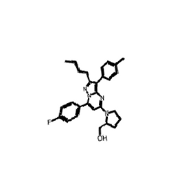 CCCCc1nn2c(-c3ccc(F)cc3)cc(N3CCC[C@H]3CO)nc2c1-c1ccc(C)cc1